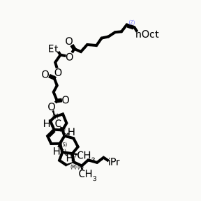 CCCCCCCC/C=C\CCCCCCCC(=O)OC(CC)COC(=O)CCC(=O)O[C@H]1CC[C@@]2(C)C(=CC[C@H]3[C@@H]4CC[C@H]([C@H](C)CCCC(C)C)[C@@]4(C)CC[C@@H]32)C1